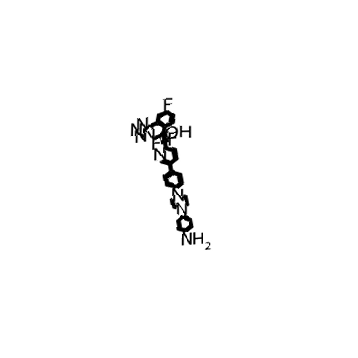 Nc1ccc(N2CCN(c3ccc(-c4ccc(C(F)(F)[C@]5(O)Cn6nnnc6-c6cc(F)ccc65)nc4)cc3)CC2)cc1